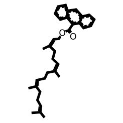 CC(C)=CCCC(C)=CCCC(C)=CCCC(C)=CCOC(=O)c1c2ccccc2cc2ccccc12